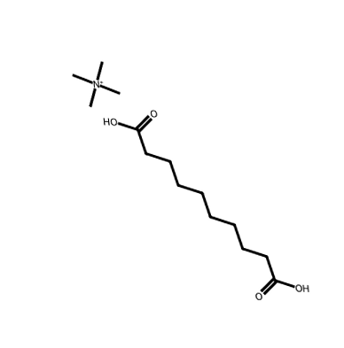 C[N+](C)(C)C.O=C(O)CCCCCCCCC(=O)O